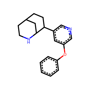 c1ccc(Oc2cncc(C3CCC4CCNC3C4)c2)cc1